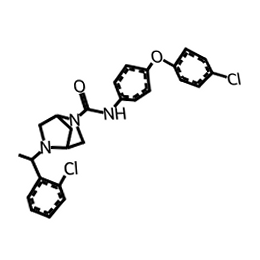 CC(c1ccccc1Cl)N1CC2CC1CN2C(=O)Nc1ccc(Oc2ccc(Cl)cc2)cc1